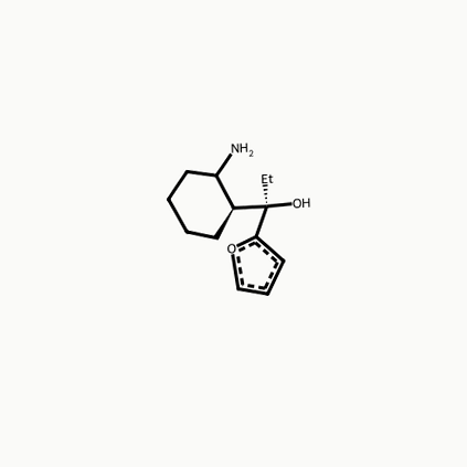 CC[C@](O)(c1ccco1)[C@H]1CCCCC1N